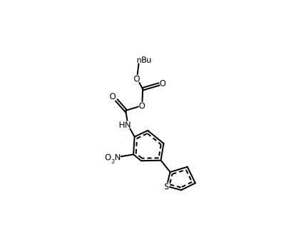 CCCCOC(=O)OC(=O)Nc1ccc(-c2cccs2)cc1[N+](=O)[O-]